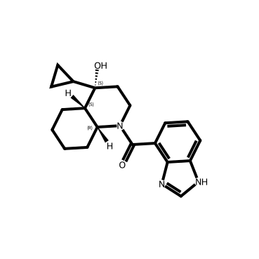 O=C(c1cccc2[nH]cnc12)N1CC[C@](O)(C2CC2)[C@H]2CCCC[C@H]21